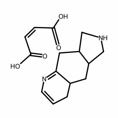 C1=CN=C2CC3CNCC3CC2C1.O=C(O)/C=C\C(=O)O